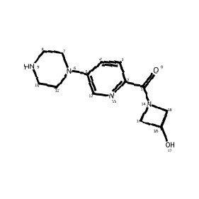 O=C(c1ccc(N2CCNCC2)cn1)N1CC(O)C1